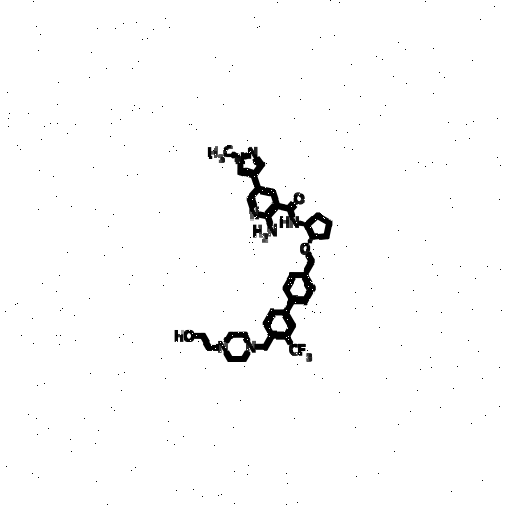 Cn1cc(-c2cnc(N)c(C(=O)N[C@H]3CCC[C@@H]3OCc3ccc(-c4ccc(CN5CCN(CCO)CC5)c(C(F)(F)F)c4)cc3)c2)cn1